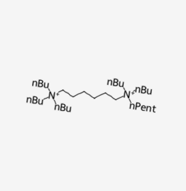 CCCCC[N+](CCCC)(CCCC)CCCCCC[N+](CCCC)(CCCC)CCCC